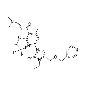 CCn1c(COCc2ccccc2)nn(-c2cc(C)c(C(=O)N=CN(C)C)c(OC(C)C(F)(F)F)n2)c1=O